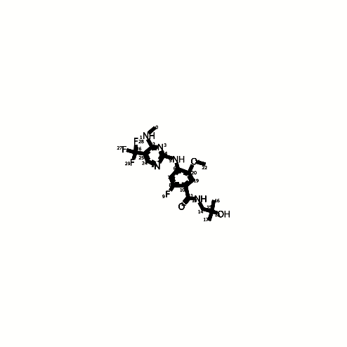 CNc1nc(Nc2cc(F)c(C(=O)NCC(C)(C)O)cc2OC)ncc1C(F)(F)F